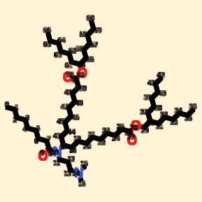 CCCCCCCCC(=O)N(CCCN(C)C)C(CCCCCCCCC(=O)OCC(CCCCCC)CCCCCC)CCCCCCCCC(=O)OC(CCCCCC)CCCCCC